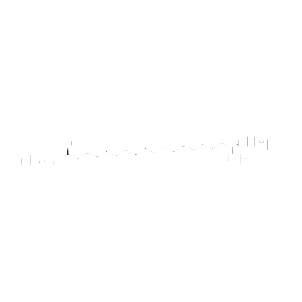 CCCCCCCC(O)CCCCCCCCCCCCCCCCC(=O)CCCCC